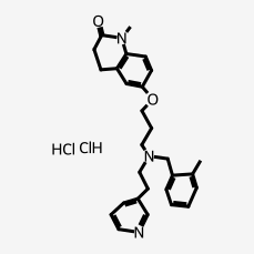 Cc1ccccc1CN(CCCOc1ccc2c(c1)CCC(=O)N2C)CCc1cccnc1.Cl.Cl